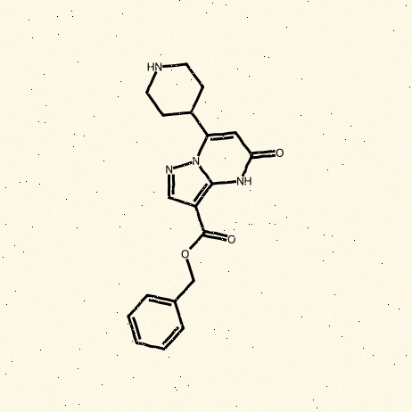 O=C(OCc1ccccc1)c1cnn2c(C3CCNCC3)cc(=O)[nH]c12